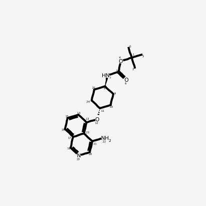 CC(C)(C)OC(=O)N[C@H]1CC[C@H](Oc2cccc3cncc(N)c23)CC1